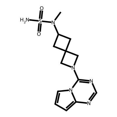 CN(C1CC2(C1)CN(c1ncnc3cccn13)C2)S(N)(=O)=O